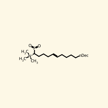 CCCCCCCCCCCCCCC=CCCCC(P(=O)=O)[N+](C)(C)C